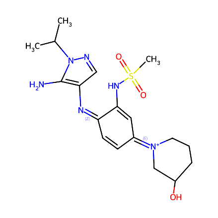 CC(C)n1ncc(/N=C2C=C/C(=[N+]3/CCCC(O)C3)C=C/2NS(C)(=O)=O)c1N